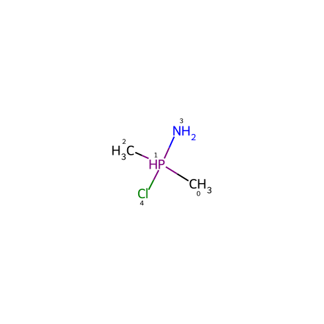 C[PH](C)(N)Cl